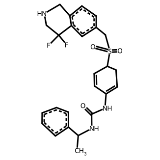 CC(NC(=O)NC1=CCC(S(=O)(=O)Cc2ccc3c(c2)C(F)(F)CNC3)C=C1)c1ccccc1